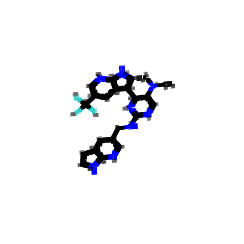 CN(C)c1cnc(NCc2cnc3[nH]ccc3c2)nc1-c1c[nH]c2ncc(C(F)(F)F)cc12